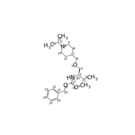 CC(C)[C@H](COCC1CCN(C(C)C)CC1)NC(=O)OCc1ccccc1